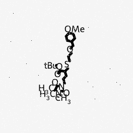 COC1CCC(COCCCSCC(CCCN2C(=O)N(C)C(C)(C)C2=O)C(=O)OC(C)(C)C)CC1